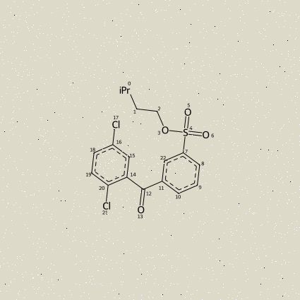 CC(C)CCOS(=O)(=O)c1cccc(C(=O)c2cc(Cl)ccc2Cl)c1